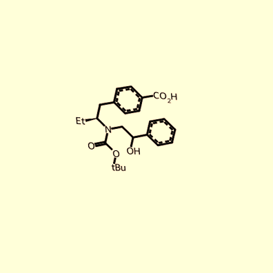 CC[C@@H](Cc1ccc(C(=O)O)cc1)N(CC(O)c1ccccc1)C(=O)OC(C)(C)C